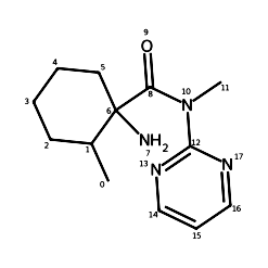 CC1CCCCC1(N)C(=O)N(C)c1ncccn1